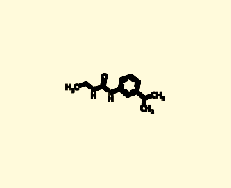 CCNC(=O)Nc1cccc(C(C)C)c1